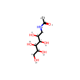 CCC(=O)NCC(O)C(O)C(O)C(O)CO